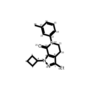 CCc1nn(C2CCC2)c2c1CCN(c1cccc(C)c1)C2=O